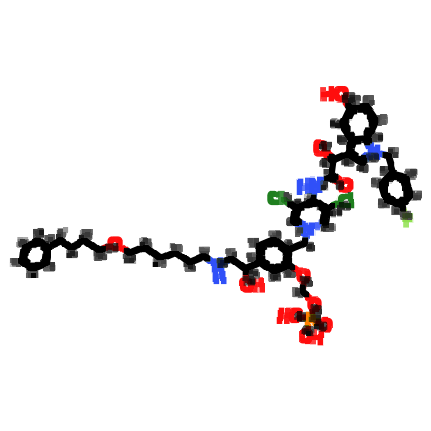 O=C(Nc1c(Cl)c[n+](Cc2ccc(C(O)CNCCCCCCOCCCCc3ccccc3)cc2OCOP(=O)(O)O)cc1Cl)C(=O)c1cn(Cc2ccc(F)cc2)c2ccc(O)cc12